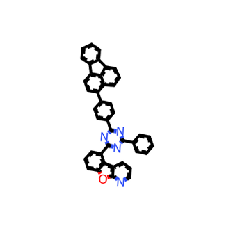 c1ccc(-c2nc(-c3ccc(-c4ccc5c6c(cccc46)-c4ccccc4-5)cc3)nc(-c3cccc4oc5ncccc5c34)n2)cc1